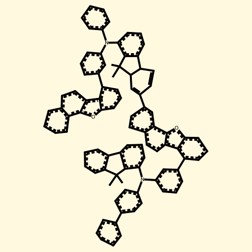 CC1(C)c2ccccc2-c2cccc(N(c3ccc(-c4ccccc4)cc3)c3cccc(-c4cccc5oc6c7cc(C8=CC9C(C=C8)c8cccc(N(c%10ccccc%10)c%10cccc(-c%11cccc%12oc%13c%14ccccc%14ccc%13c%11%12)c%10)c8C9(C)C)ccc7ccc6c45)c3)c21